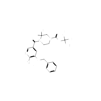 CC(C)(C)OC(=O)N1CCN(C(=O)c2cnc(N)c(OCc3ccccc3)c2)C(C)(C)C1